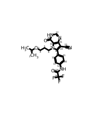 CC(C)OCCCn1c(-c2ccc(NC(=O)C(F)(F)F)cc2)c(C#N)c2nc[nH]c(=O)c21